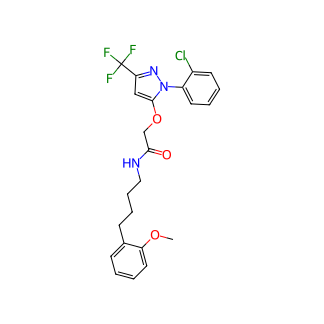 COc1ccccc1CCCCNC(=O)COc1cc(C(F)(F)F)nn1-c1ccccc1Cl